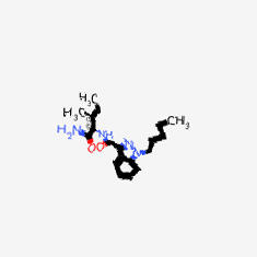 CCCCCn1nc(C(=O)N[C@H](C(N)=O)[C@@H](C)CC)c2ccccc21